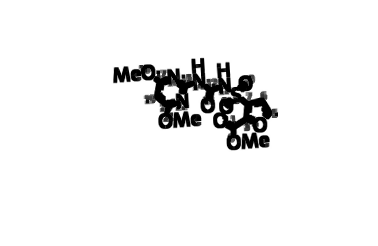 COC(=O)c1occc1S(=O)(=O)NC(=O)Nc1nc(OC)cc(OC)n1